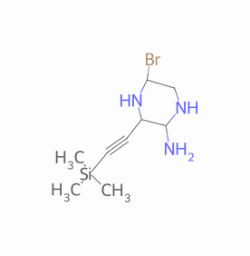 C[Si](C)(C)C#CC1NC(Br)CNC1N